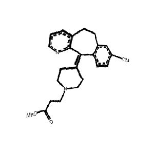 COC(=O)CCN1CCC(=C2c3ccc(C#N)cc3CCc3cccnc32)CC1